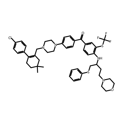 CC1(C)CCC(c2ccc(Cl)cc2)=C(CN2CCN(c3ccc(C(=O)c4ccc(NC(CCN5CCOCC5)CSc5ccccc5)c(SC(F)(F)F)c4)cc3)CC2)C1